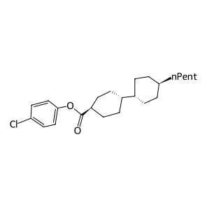 CCCCC[C@H]1CC[C@H]([C@H]2CC[C@H](C(=O)Oc3ccc(Cl)cc3)CC2)CC1